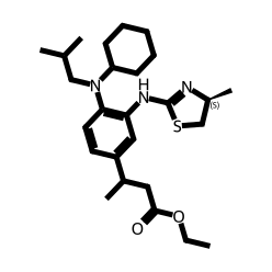 CCOC(=O)CC(C)c1ccc(N(CC(C)C)C2CCCCC2)c(NC2=N[C@@H](C)CS2)c1